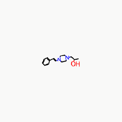 CC(O)CN1CCN(C=Cc2ccccc2)CC1